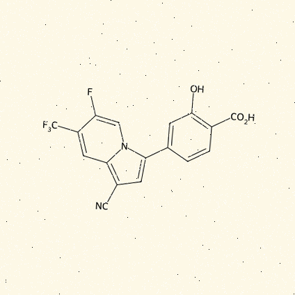 N#Cc1cc(-c2ccc(C(=O)O)c(O)c2)n2cc(F)c(C(F)(F)F)cc12